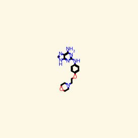 Nc1nc(Nc2ccc(OCCN3CCOCC3)cc2)nc2[nH]cnc12